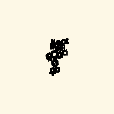 CC(C)OCC(=O)NC(C1=Cc2cccnc2C(N2CCN(C(=O)OC(C)(C)C)CC2)c2ccc(Cl)cc21)c1cncn1C